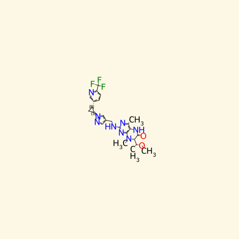 COC(C)C1C(=O)Nc2c(C)nc(NCc3cnn([C@H]4C[C@@H]4c4ccc(C(F)(F)F)nc4)c3)nc2N1C